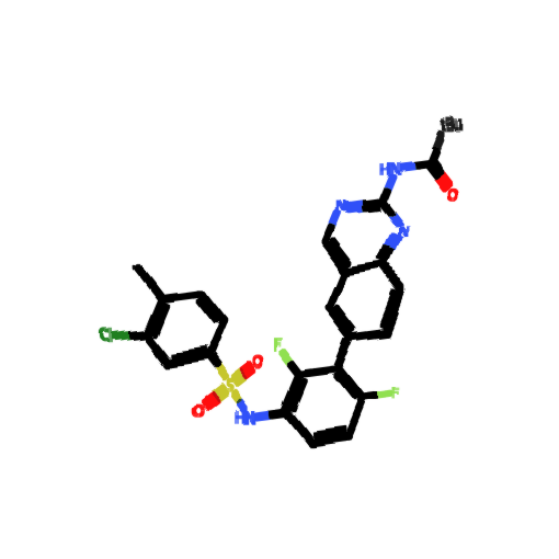 Cc1ccc(S(=O)(=O)Nc2ccc(F)c(-c3ccc4nc(NC(=O)C(C)(C)C)ncc4c3)c2F)cc1Cl